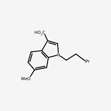 COc1ccc2c(C(=O)O)cn(CCC(C)C)c2c1